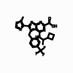 CC(Nc1nc(C(=O)O)nc2nc(-c3nccn3C)n(Cc3ccc(C(F)(F)F)cc3)c12)C1CCC1